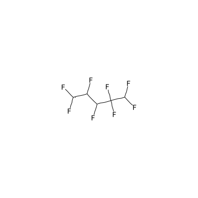 F[C](F)C(F)C(F)C(F)(F)C(F)F